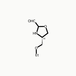 CCOC[C@H]1COC(C=O)N1